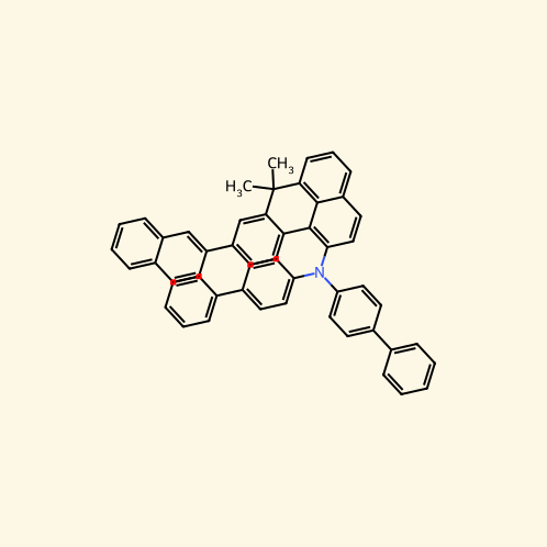 CC1(C)c2cc(-c3ccc4ccccc4c3)ccc2-c2c(N(c3ccc(-c4ccccc4)cc3)c3ccc(-c4ccccc4)cc3)ccc3cccc1c23